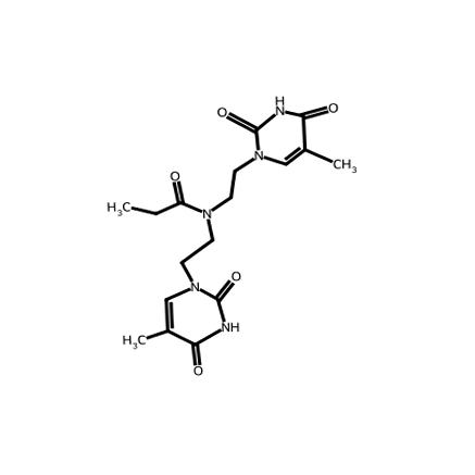 CCC(=O)N(CCn1cc(C)c(=O)[nH]c1=O)CCn1cc(C)c(=O)[nH]c1=O